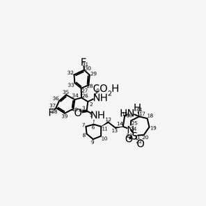 O=C(O)NC(C(=O)N[C@H]1CCCC[C@@H]1CC[C@H]1CN[C@@H]2CCCS(=O)(=O)N1C2)C(c1ccc(F)cc1)c1ccc(F)cc1